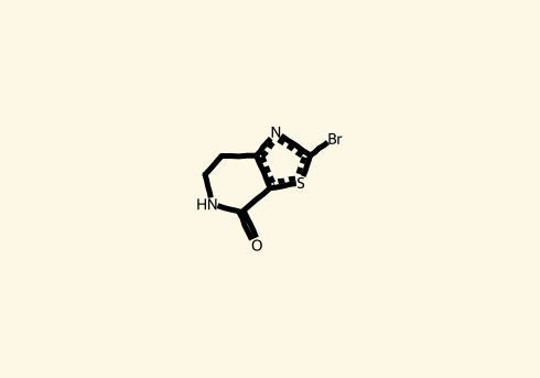 O=C1NCCc2nc(Br)sc21